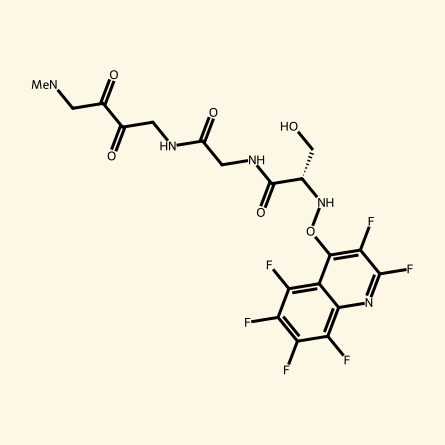 CNCC(=O)C(=O)CNC(=O)CNC(=O)[C@H](CO)NOc1c(F)c(F)nc2c(F)c(F)c(F)c(F)c12